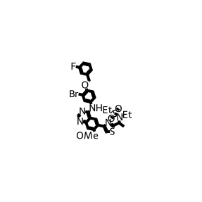 CCN(C(C)c1nc(-c2cc3c(Nc4ccc(OCc5cccc(F)c5)c(Br)c4)ncnc3cc2OC)cs1)S(=O)(=O)CC